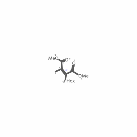 CCCCCC/C(C(=O)OC)=C(\C)C(=O)OC